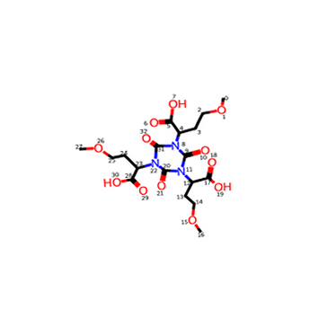 COCCC(C(=O)O)n1c(=O)n(C(CCOC)C(=O)O)c(=O)n(C(CCOC)C(=O)O)c1=O